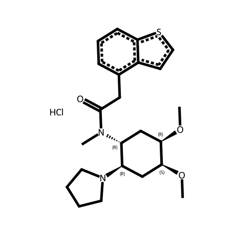 CO[C@H]1C[C@@H](N2CCCC2)[C@H](N(C)C(=O)Cc2cccc3sccc23)C[C@H]1OC.Cl